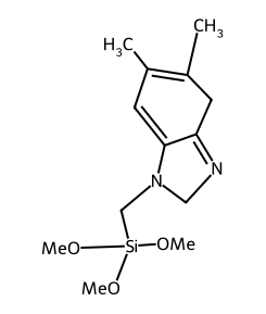 CO[Si](CN1CN=C2CC(C)=C(C)C=C21)(OC)OC